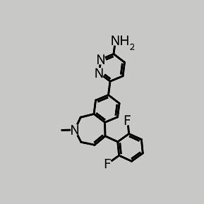 CN1CC=C(c2c(F)cccc2F)c2ccc(-c3ccc(N)nn3)cc2C1